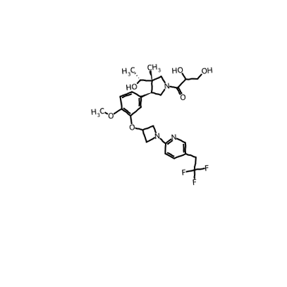 COc1ccc([C@@H]2CN(C(=O)C(O)CO)C[C@@]2(C)[C@@H](C)O)cc1OC1CN(c2ccc(CC(F)(F)F)cn2)C1